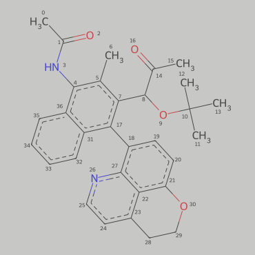 CC(=O)Nc1c(C)c(C(OC(C)(C)C)C(C)=O)c(-c2ccc3c4c(ccnc24)CCO3)c2ccccc12